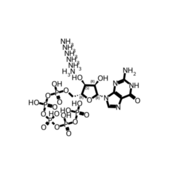 N.N.N.N.N.N.Nc1nc2c(ncn2[C@@H]2O[C@H](COP(=O)(O)OP(=O)(O)OP(=O)(O)OP(=O)(O)OP(=O)(O)O)[C@@H](O)[C@H]2O)c(=O)[nH]1